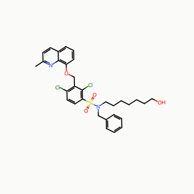 Cc1ccc2cccc(OCc3c(Cl)ccc(S(=O)(=O)N(CCCCCCCO)Cc4ccccc4)c3Cl)c2n1